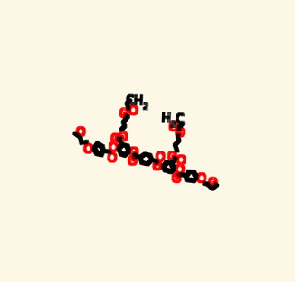 C=CC(=O)OCCCCOC(=O)c1cc(OC(=O)C2CCC(C(=O)Oc3ccc(OC(=O)c4ccc(OCC5CCO5)cc4)c(C(=O)OCCCCOC(=O)C=C)c3)CC2)ccc1OC(=O)c1ccc(OCCC2CO2)cc1